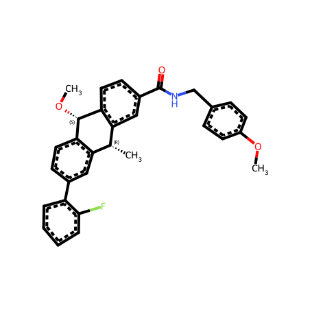 COc1ccc(CNC(=O)c2ccc3c(c2)[C@H](C)c2cc(-c4ccccc4F)ccc2[C@@H]3OC)cc1